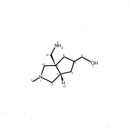 CN1C[C@H]2CC(CO)C[C@@]2(CN)C1